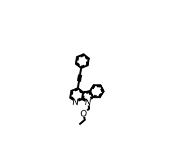 CCOCn1c2ccccc2c2c(C#Cc3ccccc3)ccnc21